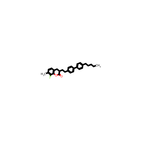 CCCCCc1ccc(-c2ccc(CCC3Cc4ccc(C)c(F)c4OC3=O)cc2)cc1